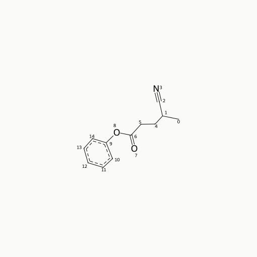 CC(C#N)CCC(=O)Oc1ccccc1